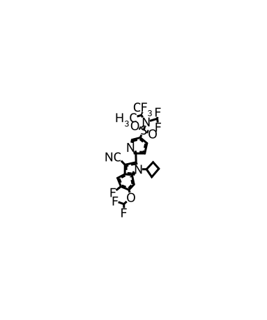 C[C@H](N(C(F)F)S(=O)(=O)c1ccc(-c2c(C#N)c3cc(F)c(OC(F)F)cc3n2C2CCC2)nc1)C(F)(F)F